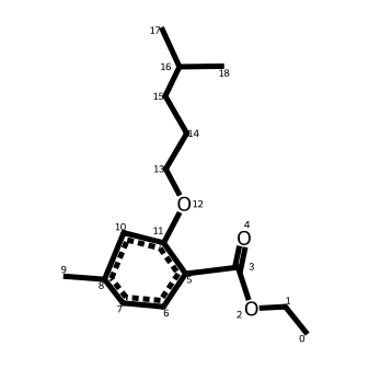 CCOC(=O)c1ccc(C)cc1OCCCC(C)C